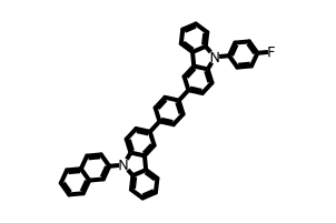 Fc1ccc(-n2c3ccccc3c3cc(-c4ccc(-c5ccc6c(c5)c5ccccc5n6-c5ccc6ccccc6c5)cc4)ccc32)cc1